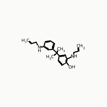 C=CCNc1cccc(C(C)(C)c2ccc(O)c(NCC=C)c2)c1